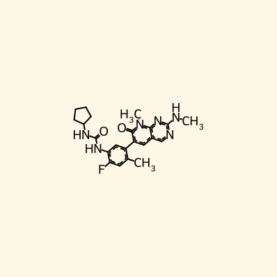 CNc1ncc2cc(-c3cc(NC(=O)NC4CCCC4)c(F)cc3C)c(=O)n(C)c2n1